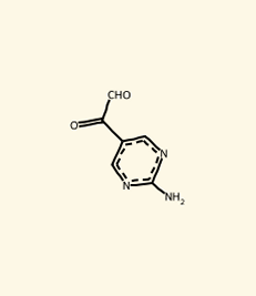 Nc1ncc(C(=O)C=O)cn1